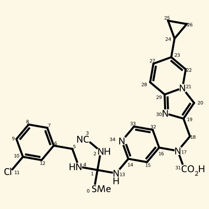 CSC(NC#N)(NCc1cccc(Cl)c1)Nc1cc(N(Cc2cn3cc(C4CC4)ccc3n2)C(=O)O)ccn1